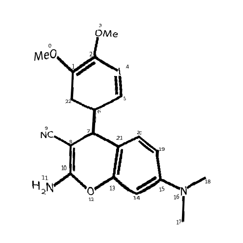 COC1=C(OC)I=CC(C2C(C#N)=C(N)Oc3cc(N(C)C)ccc32)C1